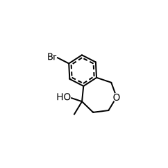 CC1(O)CCOCc2ccc(Br)cc21